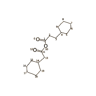 O=C(CCC1CCCCC1)OC(=O)CC1CCCCC1